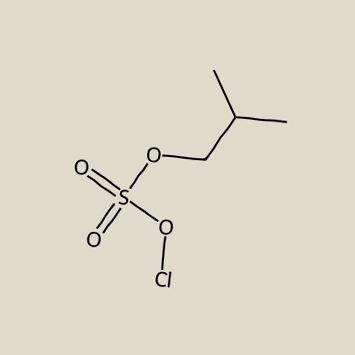 CC(C)COS(=O)(=O)OCl